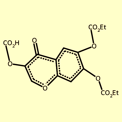 CCOC(=O)Oc1cc2occ(OC(=O)O)c(=O)c2cc1OC(=O)OCC